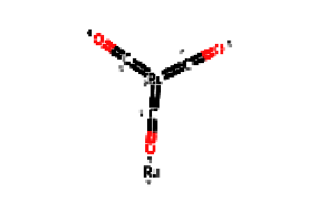 O=[C]=[Ru](=[C]=O)=[C]=O.[Ru]